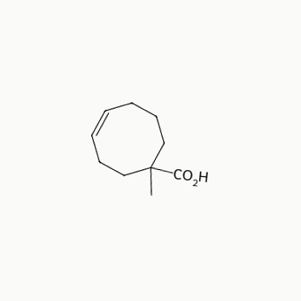 CC1(C(=O)O)CC/C=C\CCC1